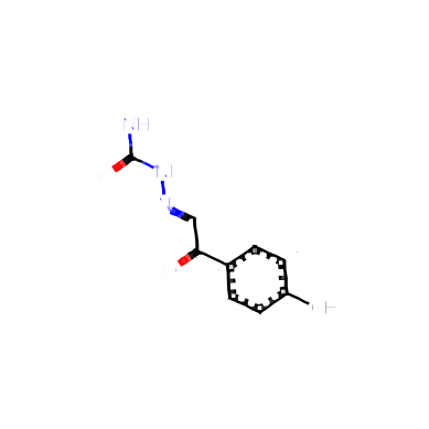 Cc1ccc(C(=O)/C=N/NC(N)=O)cc1